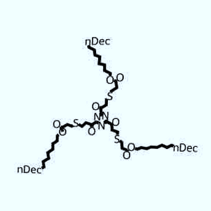 CCCCCCCCCCCCCCCCCCOC(=O)CCSCCC(=O)c1nc(C(=O)CCSCCC(=O)OCCCCCCCCCCCCCCCCCC)nc(C(=O)CCSCCC(=O)OCCCCCCCCCCCCCCCCCC)n1